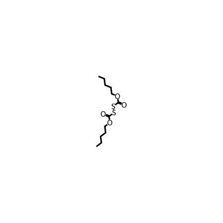 CCCCCOC(=O)SSC(=O)OCCCCC